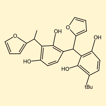 CC(c1ccco1)c1c(O)ccc(C(c2ccco2)c2c(O)ccc(C(C)(C)C)c2O)c1O